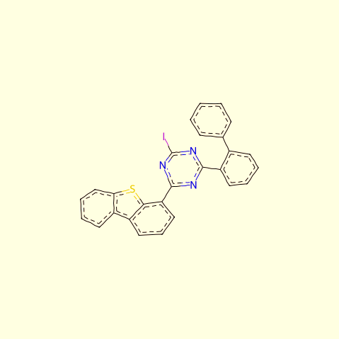 Ic1nc(-c2ccccc2-c2ccccc2)nc(-c2cccc3c2sc2ccccc23)n1